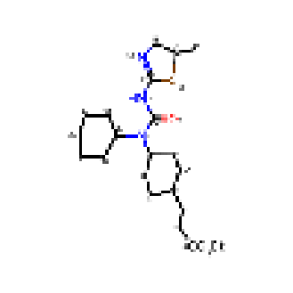 CCOC(=O)CCC1CCC(N(C(=O)NC2=NCC(C)S2)C2CCCCC2)CC1